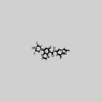 Cc1cn2cc(NC(=O)c3c(F)cc(N4C[C@H](C)N[C@@H](C)C4)c4nccnc34)cc(F)c2n1